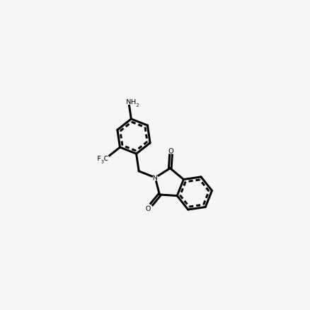 Nc1ccc(CN2C(=O)c3ccccc3C2=O)c(C(F)(F)F)c1